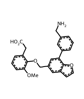 COc1cccc(CC(=O)O)c1OCc1cc(-c2cccc(CN)c2)c2occc2c1